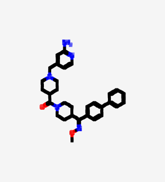 CON=C(c1ccc(-c2ccccc2)cc1)C1CCN(C(=O)C2CCN(Cc3ccnc(N)c3)CC2)CC1